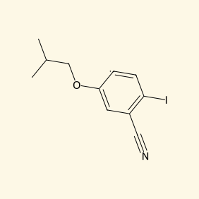 CC(C)COc1[c]cc(I)c(C#N)c1